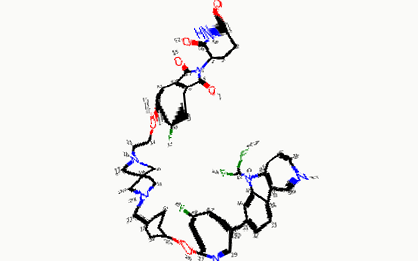 O=C1CCC(N2C(=O)c3cc(F)c(OCCN4CC5(C4)CN(CC4CC(Oc6ncc(-c7ccc8c9cnccc9n(C(F)F)c8c7)cc6F)C4)C5)cc3C2=O)C(=O)N1